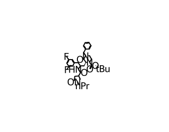 CCCN1CC(C(=O)NC(Cc2cc(F)cc(F)c2)C[C@H]2C(=O)N(Cc3ccccc3)CCN2C(=O)OC(C)(C)C)CC1=O